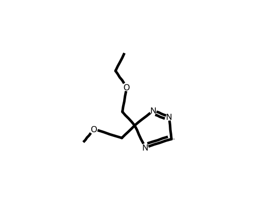 CCOCC1(COC)N=[C]N=N1